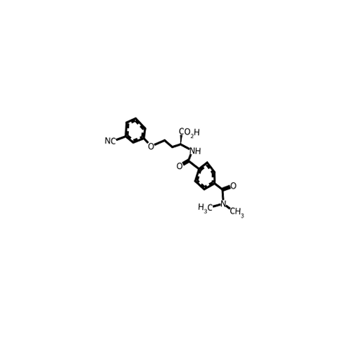 CN(C)C(=O)c1ccc(C(=O)N[C@@H](CCOc2cccc(C#N)c2)C(=O)O)cc1